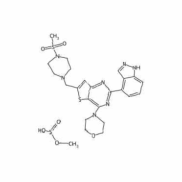 COS(=O)O.CS(=O)(=O)N1CCN(Cc2cc3nc(-c4cccc5[nH]ncc45)nc(N4CCOCC4)c3s2)CC1